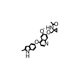 COc1cc2c(Oc3ccc4[nH]c(C)cc4c3)ccnc2cc1OCC1(NC(C)=O)CC1